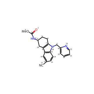 COC(=O)NC1CCc2c(c3cc(C#N)ccc3n2Cc2ccccn2)C1